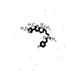 Cc1nc2c(cc1-c1cnn(C)c1)CC[C@](C)(CCCN(C)C(=O)Cc1ccc(F)cc1)N2